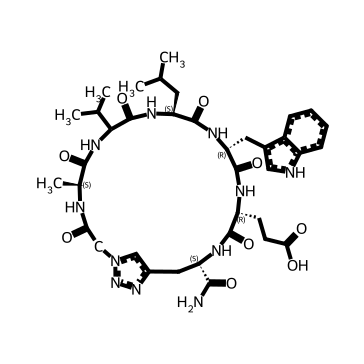 CC(C)C[C@@H]1NC(=O)C(C(C)C)NC(=O)[C@H](C)NC(=O)Cn2cc(nn2)C[C@@H](C(N)=O)NC(=O)[C@@H](CCC(=O)O)NC(=O)[C@@H](Cc2c[nH]c3ccccc23)NC1=O